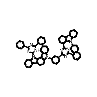 c1ccc(C2=NC(n3c4ccccc4c4ccc5c(c6ccccc6n5-c5cccc(-c6nc(-c7ccccc7)nc(-c7cccc8c9ccccc9n(-c9ccccc9)c78)n6)c5)c43)NC(c3ccccc3)=N2)cc1